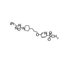 CC(C)c1noc(N2CCC(CCCOc3ccc(S(C)(=O)=O)nc3)CC2)n1